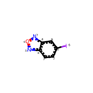 Ic1ccc2nonc2c1